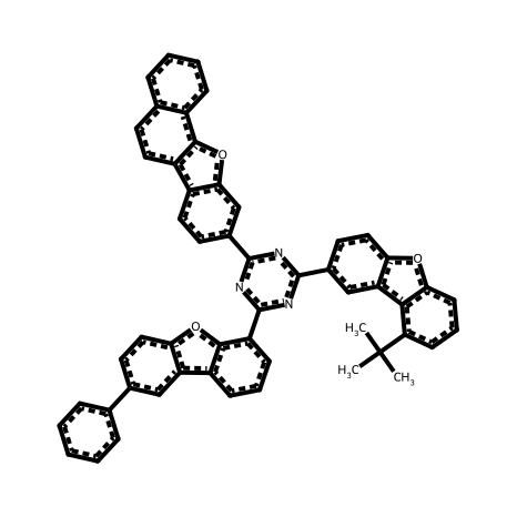 CC(C)(C)c1cccc2oc3ccc(-c4nc(-c5ccc6c(c5)oc5c7ccccc7ccc65)nc(-c5cccc6c5oc5ccc(-c7ccccc7)cc56)n4)cc3c12